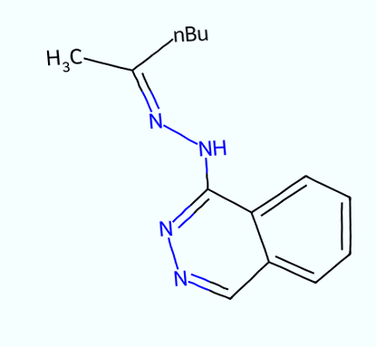 CCCC/C(C)=N\Nc1nncc2ccccc12